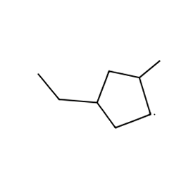 CCC1C[CH]C(C)C1